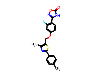 Cc1nc(-c2ccc(C(F)(F)F)cc2)sc1COc1ccc(-c2noc(=O)[nH]2)c(F)c1